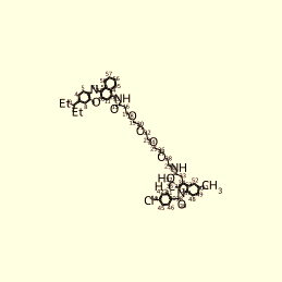 CCC(CC)=c1ccc2c(c1)Oc1cc(NC(=O)CCOCCOCCOCCOCCNC(O)Cc3c(C)n(C(=O)c4ccc(Cl)cc4)c4ccc(C)cc34)c3ccccc3c1N=2